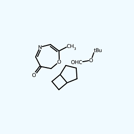 C1CC2CCC2C1.CC(C)(C)OC=O.CC1=CN=CC(=O)CO1